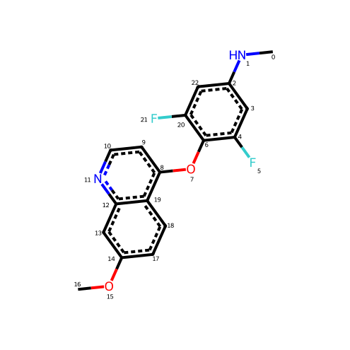 CNc1cc(F)c(Oc2ccnc3cc(OC)ccc23)c(F)c1